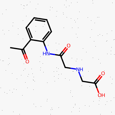 CC(=O)c1ccccc1NC(=O)CNCC(=O)O